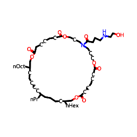 CCCCCCCCC1CCCCCC(CCC)CCCCC(CCCCCC)COC(=O)CCCCCC(=O)OCCCN(C(=O)CCCNCCO)CCCOC(=O)CCCCCC(=O)OC1